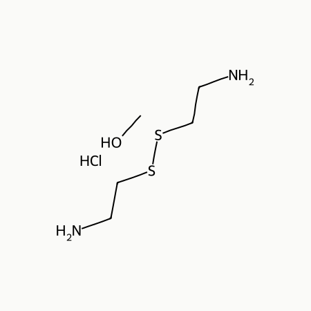 CO.Cl.NCCSSCCN